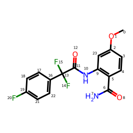 COc1ccc(C(N)=O)c(NC(=O)C(F)(F)c2ccc(F)cc2)c1